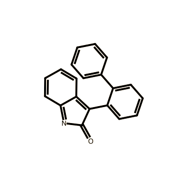 O=C1N=c2ccccc2=C1c1ccccc1-c1ccccc1